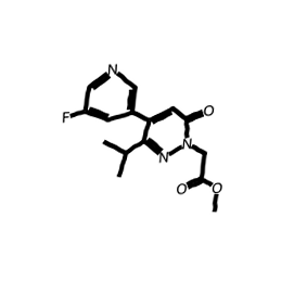 COC(=O)Cn1nc(C(C)C)c(-c2cncc(F)c2)cc1=O